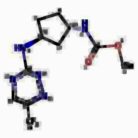 CC(C)(C)OC(=O)N[C@H]1CC[C@H](Nc2ncc(C(F)(F)F)nn2)C1